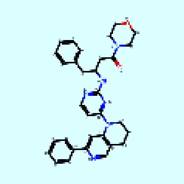 O=C(CC(Cc1ccccc1)Nc1nccc(N2CCCc3cnc(-c4ccccc4)cc32)n1)N1CCOCC1